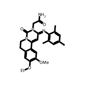 CCOc1cc2c(cc1OC)-c1c/c(=N\c3c(C)cc(C)cc3C)n(CC(N)=O)c(=O)n1CC2